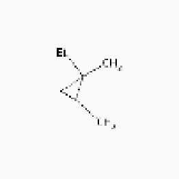 CCC1(C)CC1C